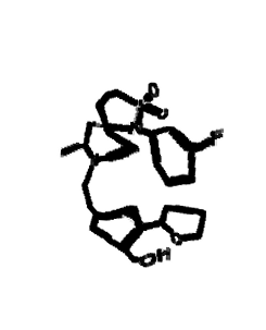 C[C@H]1C[C@]2(CCN1Cc1ccc(O)c(C3CCCO3)c1)CCS(=O)(=O)N2c1cccc(F)c1